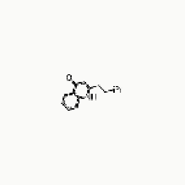 CC(C)CCc1cc(=O)c2ccccc2[nH]1